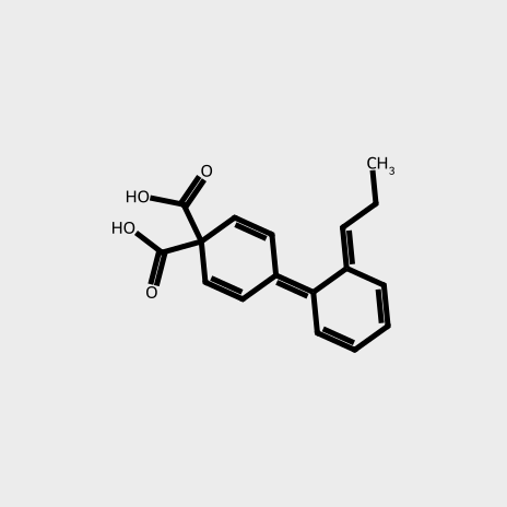 CCC=c1ccccc1=C1C=CC(C(=O)O)(C(=O)O)C=C1